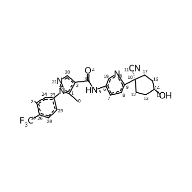 Cc1c(C(=O)Nc2ccc([C@]3(C#N)CC[C@H](O)CC3)nc2)cnn1-c1ccc(C(F)(F)F)cc1